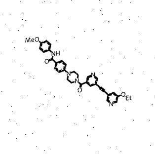 CCOc1cncc(C#Cc2cncc(C(=O)N3CCN(c4ccc(C(=O)Nc5ccc(OC)cc5)cc4)CC3)c2)c1